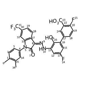 Cc1ccc(N2C(=O)C(=NNc3cc(F)cc(-c4ccc(F)c(C(=O)O)c4)c3O)c3ccc(C(F)(F)F)cc32)cc1C